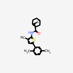 Cc1ccc(C)c(-c2cc(C#N)c(NC(=O)C3CC4CCC3CC4)s2)c1